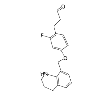 O=CCCc1ccc(OCc2cccc3c2NCCC3)cc1F